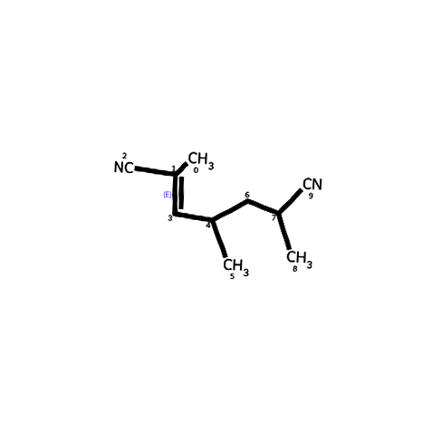 C/C(C#N)=C\C(C)CC(C)C#N